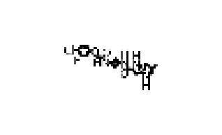 CC1CNC2CC(C(=O)NC34CC(NC(=O)COc5ccc(Cl)c(F)c5)(C3)C4)NN2C1